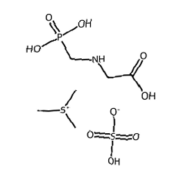 C[S+](C)C.O=C(O)CNCP(=O)(O)O.O=S(=O)([O-])O